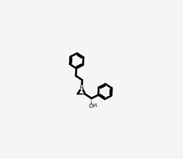 O[C@@H](c1ccccc1)[C@H]1CN1CCc1ccccc1